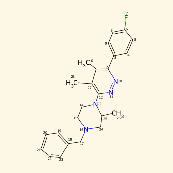 Cc1c(-c2ccc(F)cc2)nnc(N2CCN(Cc3ccccc3)CC2C)c1C